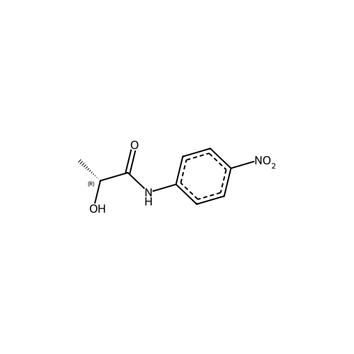 C[C@@H](O)C(=O)Nc1ccc([N+](=O)[O-])cc1